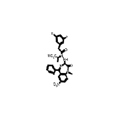 C[C@@H](C(=O)O)N(NC1N=C(c2ccccc2)c2cc([N+](=O)[O-])ccc2N(C)C1=O)C(=O)Cc1cc(F)cc(F)c1